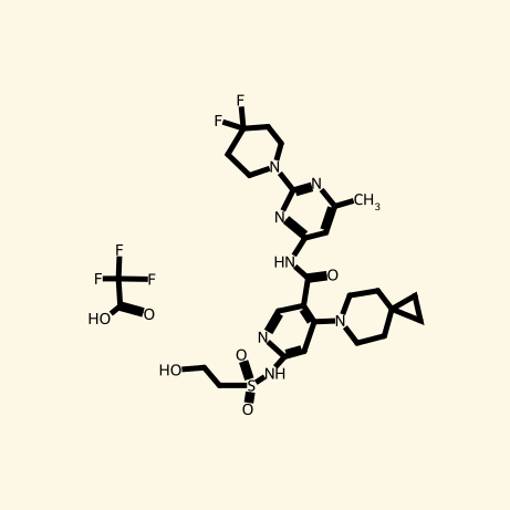 Cc1cc(NC(=O)c2cnc(NS(=O)(=O)CCO)cc2N2CCC3(CC2)CC3)nc(N2CCC(F)(F)CC2)n1.O=C(O)C(F)(F)F